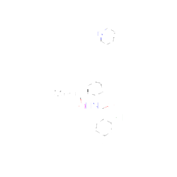 COC(=O)c1cc(OCCCc2cccnc2)ccc1NC(=O)c1ccc(Cl)cc1Cl